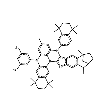 Cc1cc2c3c(c1)N(c1ccc4c(c1)C(C)(C)CCC4(C)C)c1c(oc4cc5c(cc14)C1(C)CCC(C1)C5C)B3c1cc3c(cc1N2c1cc(C(C)(C)C)cc(C(C)(C)C)c1)C(C)(C)CCC3(C)C